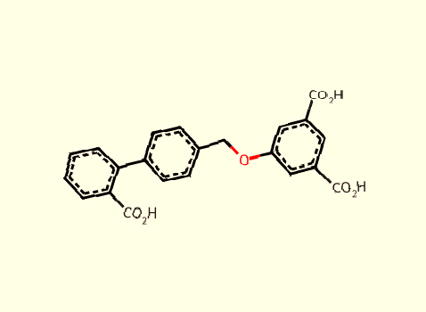 O=C(O)c1cc(OCc2ccc(-c3ccccc3C(=O)O)cc2)cc(C(=O)O)c1